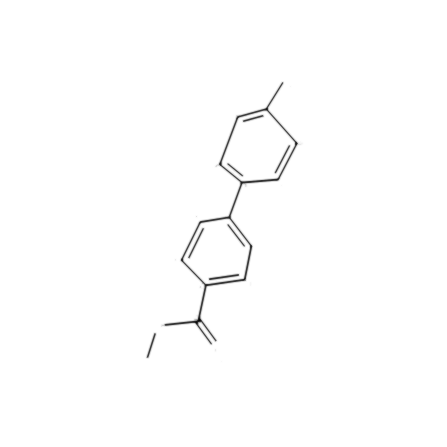 COC(=O)c1ccc(-c2ccc(C)cc2)cc1